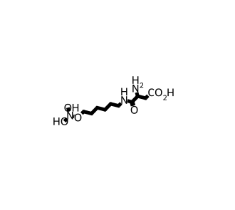 NC(CC(=O)O)C(=O)NCCCCCCON(O)O